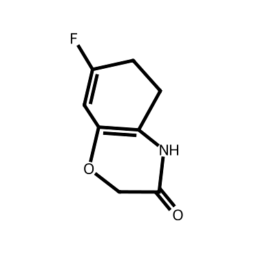 O=C1COC2=C(CCC(F)=C2)N1